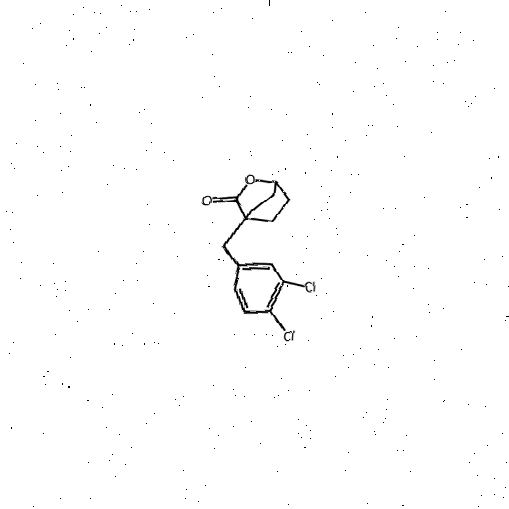 O=C1OC2CCC1(Cc1ccc(Cl)c(Cl)c1)CC2